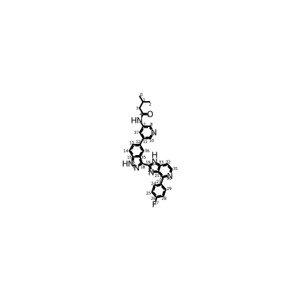 CC(C)CC(=O)Nc1cncc(-c2ccc3[nH]nc(-c4nc5c(-c6ccc(F)cc6)nccc5[nH]4)c3c2)c1